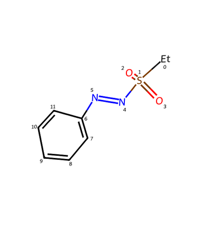 CCS(=O)(=O)/N=N/c1ccccc1